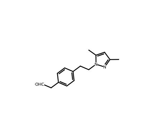 Cc1cc(C)n(CCc2ccc(C[C]=O)cc2)n1